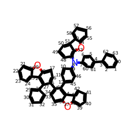 c1ccc(-c2ccc(N(c3ccc(-c4c(-c5ccc6oc7ccccc7c6c5-c5ccccc5)ccc5oc6ccccc6c45)cc3)c3cccc4c3oc3ccccc34)cc2)cc1